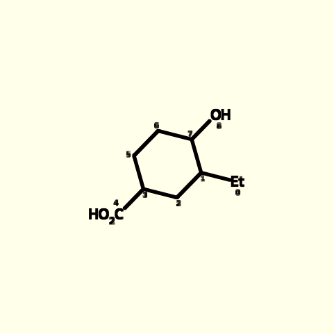 CCC1CC(C(=O)O)CCC1O